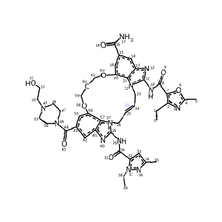 CCc1nc(C)oc1C(=O)Nc1nc2cc(C(N)=O)cc3c2n1C/C=C/Cn1c(NC(=O)c2cc(C)nn2CC)nc2cc(C(=O)N4CCN(CCO)CC4)cc(c21)OCCCO3